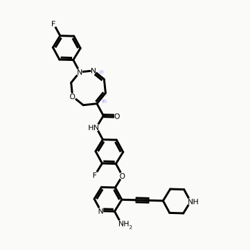 Nc1nccc(Oc2ccc(NC(=O)/C3=C/C=N\N(c4ccc(F)cc4)COC3)cc2F)c1C#CC1CCNCC1